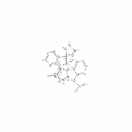 FC(F)Oc1ccccc1C1(C(Cl)(Cl)C2(c3ccccc3OC(F)F)N=NN=N2)N=NN=N1